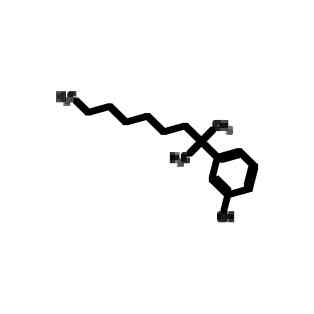 CCCCCCCC(C)(C)c1cccc(O)c1